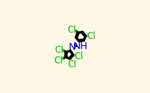 ClC1=C(Cl)C(Cl)=C(Cl)C1=NNc1cc(Cl)cc(Cl)c1